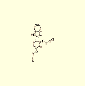 N#CCOc1ccc(-c2nc3cnncc3[nH]2)c(OCC#N)c1